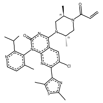 C=CC(=O)N1C[C@H](C)N(c2nc(=O)n(-c3c(C)ccnc3C(C)C)c3nc(-c4nc(C)sc4C)c(Cl)cc23)C[C@H]1C